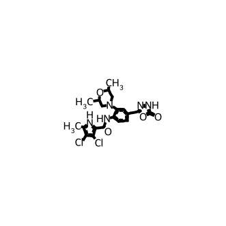 Cc1[nH]c(C(=O)Nc2ccc(-c3n[nH]c(=O)o3)cc2N2CC(C)OC(C)C2)c(Cl)c1Cl